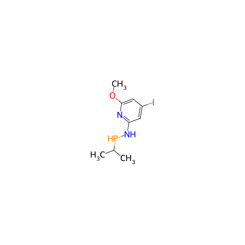 COc1cc(I)cc(NPC(C)C)n1